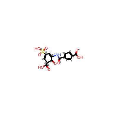 O=C(O)c1ccc(C(=O)NC2=CC(S(=O)(=O)O)=CC(C(=O)O)C2=O)cc1